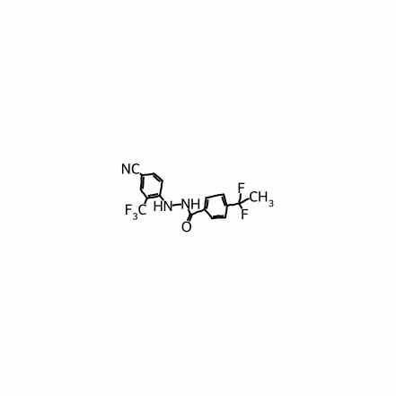 CC(F)(F)c1ccc(C(=O)NNc2ccc(C#N)cc2C(F)(F)F)cc1